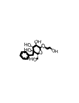 OCCO[C@H]1O[C@H](CO)[C@](O)(Cc2ccccc2)[C@H](O)[C@H]1O